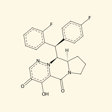 O=C1c2c(O)c(=O)cnn2[C@@H]([C@H](c2ccc(F)cc2)c2ccccc2F)[C@H]2CCCN12